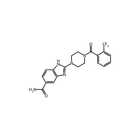 NC(=O)c1ccc2[nH]c(N3CCN(C(=O)c4ccccc4C(F)(F)F)CC3)nc2c1